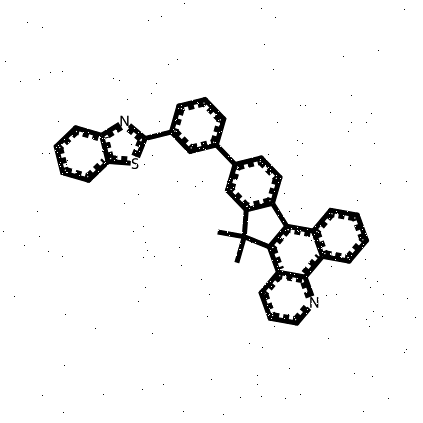 CC1(C)c2cc(-c3cccc(-c4nc5ccccc5s4)c3)ccc2-c2c1c1cccnc1c1ccccc21